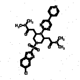 CN(C)C(=O)CC1CN(S(=O)(=O)c2cc3ccc(Cl)cc3s2)CC(CC(=O)N(C)C)N1c1ncc(-c2ccncc2)cn1